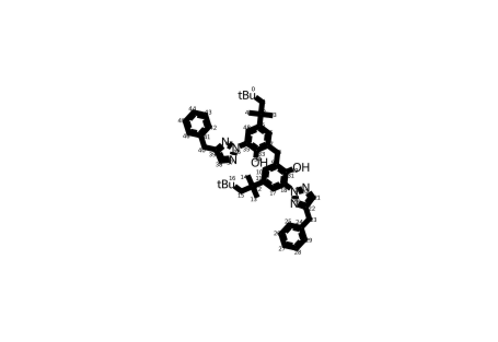 CC(C)(C)CC(C)(C)c1cc(Cc2cc(C(C)(C)CC(C)(C)C)cc(-n3ncc(Cc4ccccc4)n3)c2O)c(O)c(-n2ncc(Cc3ccccc3)n2)c1